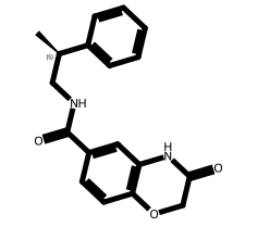 C[C@H](CNC(=O)c1ccc2c(c1)NC(=O)CO2)c1ccccc1